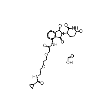 O=C1CCC(N2C(=O)c3cccc(NC(=O)COCCOCCNC(=O)C4CC4)c3C2=O)C(=O)N1.O=CO